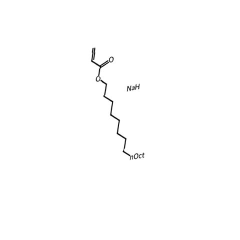 C=CC(=O)OCCCCCCCCCCCCCCCC.[NaH]